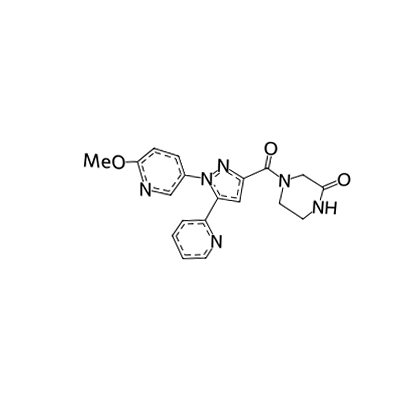 COc1ccc(-n2nc(C(=O)N3CCNC(=O)C3)cc2-c2ccccn2)cn1